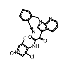 N#Cc1ccccc1Cn1cc(C(=O)C(=O)Nc2c(Cl)c[n+]([O-])cc2Cl)c2cccnc21